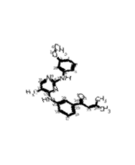 COc1cccc(Nc2ncc(C)c(Nc3cccc(C(=O)C=C(C)C)c3)n2)c1